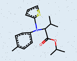 Cc1ccc(N(c2cccs2)C(C(=O)OC(C)C)C(C)C)cc1